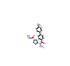 CCNC(=O)[C@H]1CC[C@@H](N(C)C(=O)c2ccc(-c3ccc(C)cc3)cc2)C1